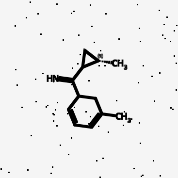 CC1=CC=CC(C(=N)C2C[C@@H]2C)C1